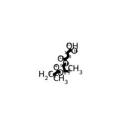 C=C(C)C(=O)OC(CC)COC(=O)CCC(=O)O